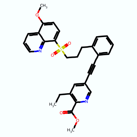 CCc1cc(C#Cc2ccccc2CCCS(=O)(=O)c2ccc(OC)c3cccnc23)cnc1C(=O)OC